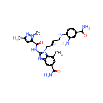 CCn1nc(C)cc1C(=O)Nc1nc2cc(C(N)=O)cc(C)c2n1C/C=C/CNc1ccc(C(N)=O)cc1N